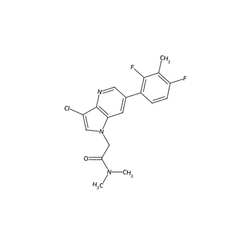 Cc1c(F)ccc(-c2cnc3c(Cl)cn(CC(=O)N(C)C)c3c2)c1F